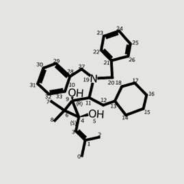 CC(C)=C[C@]1(O)C(C)(C)[C@@]1(O)C(CC1CCCCC1)N(Cc1ccccc1)Cc1ccccc1